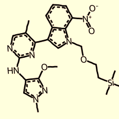 COc1nn(C)cc1Nc1ncc(C)c(-c2cn(COCC[Si](C)(C)C)c3c([N+](=O)[O-])cccc23)n1